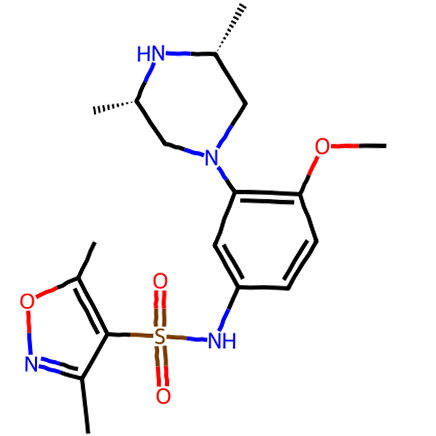 COc1ccc(NS(=O)(=O)c2c(C)noc2C)cc1N1C[C@@H](C)N[C@@H](C)C1